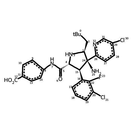 CC(C)(C)C[C@@H]1N[C@@H](C(=O)Nc2ccc(C(=O)O)cc2)[C@H](c2cccc(Cl)c2F)[C@@]1(N)c1ccc(Cl)cn1